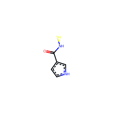 O=C(NS)c1cc[nH]c1